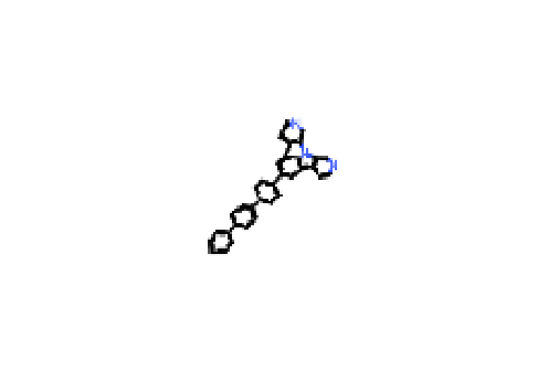 c1ccc(-c2ccc(-c3ccc(-c4cc5c6ccncc6n6c7cnccc7c(c4)c56)cc3)cc2)cc1